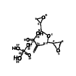 C(OCC1CO1)C1CO1.C=C(C)C(=O)O.O=P(O)(O)O